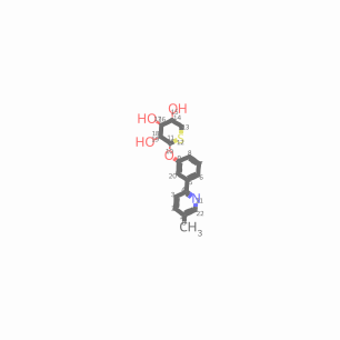 Cc1ccc(-c2cccc(O[C@H]3SC[C@@H](O)[C@H](O)[C@H]3O)c2)nc1